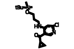 CC(C)(C)[Si](C)(C)OCCCNc1cc(Cl)ncc1C(=O)C1CC1